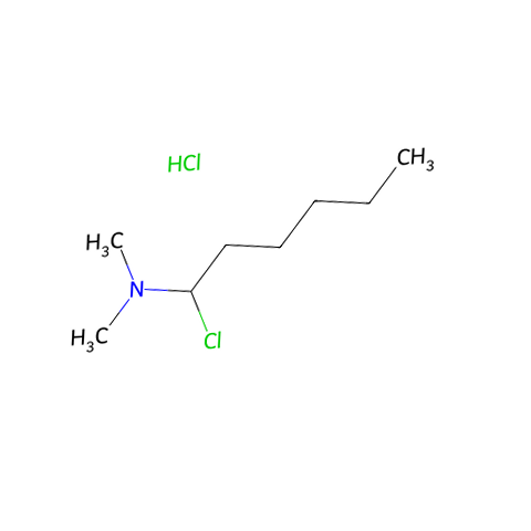 CCCCCC(Cl)N(C)C.Cl